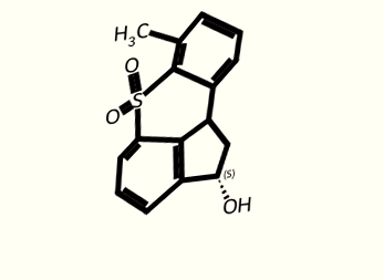 Cc1cccc2c1S(=O)(=O)c1cccc3c1C2C[C@@H]3O